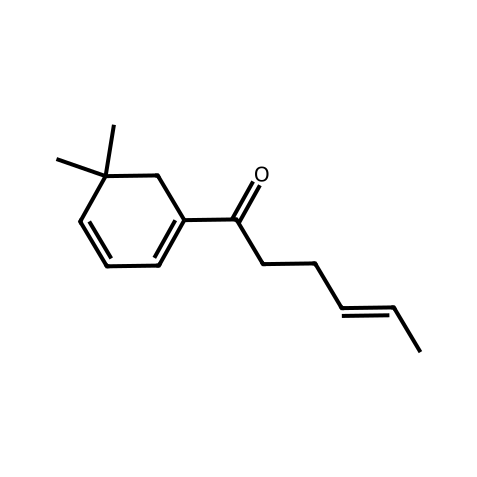 CC=CCCC(=O)C1=CC=CC(C)(C)C1